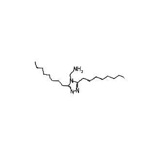 CCCCCCCCc1nnc(CCCCCCCC)n1CN